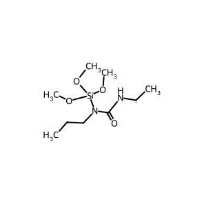 C[CH]NC(=O)N(CCC)[Si](OC)(OC)OC